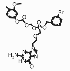 COc1cc(OC(=O)OCOP(=O)(COCCn2cnc3c(=O)[nH]c(N)nc32)OCc2cccc(Br)c2)ccc1C